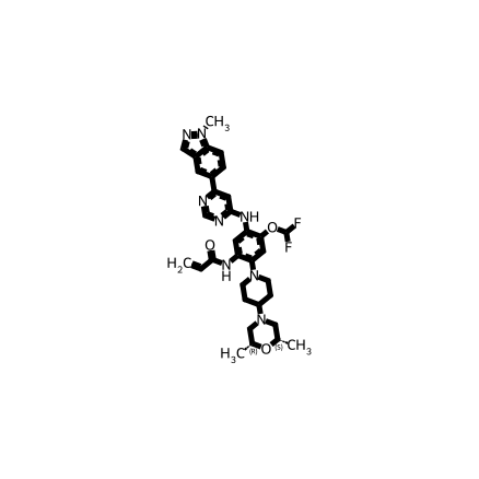 C=CC(=O)Nc1cc(Nc2cc(-c3ccc4c(cnn4C)c3)ncn2)c(OC(F)F)cc1N1CCC(N2C[C@@H](C)O[C@@H](C)C2)CC1